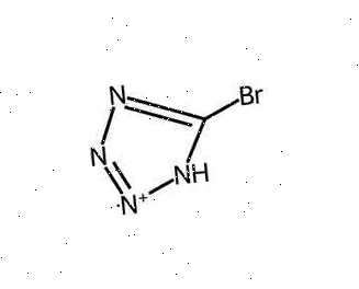 BrC1=NN=[N+]N1